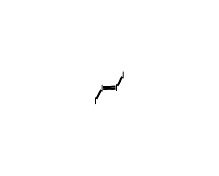 II=II